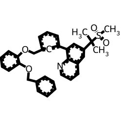 CC(C)(c1cc(-c2cccc(COc3ccccc3OCc3ccccc3)c2)c2ncccc2c1)S(C)(=O)=O